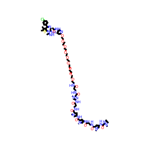 CC(=N)N1C(=N)[C@H](CC(=O)Nc2ccc(OCCOCCOCCOCCOCCOCCOCCOCCOCCNC(=O)CCNC(=O)c3nc(NC(=O)CCNC(=O)c4cc(NC(=O)c5cc(NC(=O)CCNC(=O)c6cc(NC(=O)c7nccn7C)cn6C)cn5C)cn4C)cn3C)nc2)N=C(c2ccc(Cl)cc2)c2c1sc(C)c2C